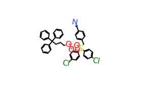 N#Cc1ccc(CS(OB(O)OCCCC(c2ccccc2)(c2ccccc2)c2ccccc2)(c2ccc(Cl)cc2)c2ccc(Cl)cc2)cc1